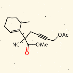 COC(=O)C(C#N)(CC#CCOC(C)=O)C1=CCCCC1C